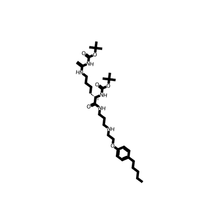 C=C(NCCCC[C@H](NC(=O)OC(C)(C)C)C(=O)NCCCNCCOc1ccc(CCCCC)cc1)NC(=O)OC(C)(C)C